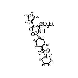 CCOC(=O)N(NC(=O)c1ccc(S(=O)(=O)N2CCCCC2)cc1)C(=O)c1ccsc1